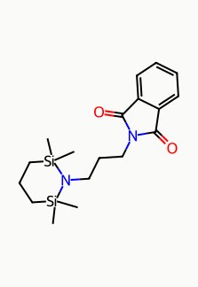 C[Si]1(C)CCC[Si](C)(C)N1CCCN1C(=O)c2ccccc2C1=O